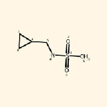 CS(=O)(=O)[N]CC1CC1